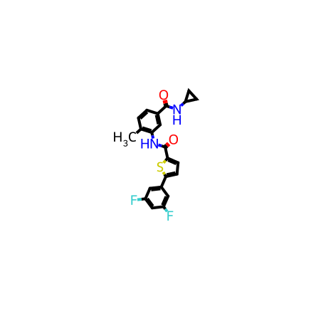 Cc1ccc(C(=O)NC2CC2)cc1NC(=O)c1ccc(-c2cc(F)cc(F)c2)s1